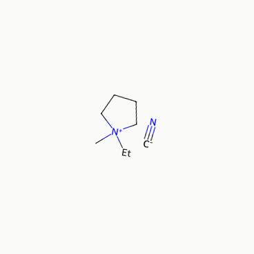 CC[N+]1(C)CCCC1.[C-]#N